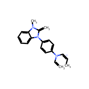 C=CN(/C=C\C)c1ccc(N2C(=C)N(C)c3ccccc32)cc1